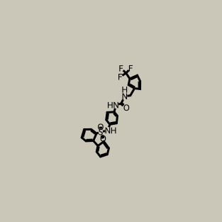 O=C(NCc1cccc(C(F)(F)F)c1)Nc1ccc(NS(=O)(=O)c2ccccc2-c2ccccc2)cc1